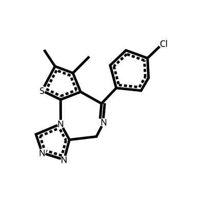 Cc1sc2c(c1C)C(c1ccc(Cl)cc1)=NCc1nncn1-2